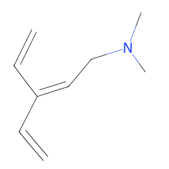 C=CC(C=C)=CCN(C)C